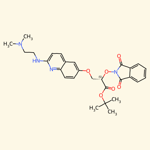 CN(C)CCNc1ccc2cc(OC[C@H](ON3C(=O)c4ccccc4C3=O)C(=O)OC(C)(C)C)ccc2n1